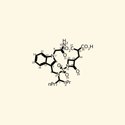 CCCC(CCC)N(Cc1cn(CC(N)=O)c2ccccc12)S(=O)(=O)N1CC(CC(C(=O)O)C(=O)O)C1=O